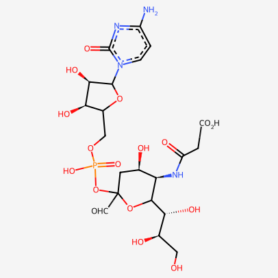 Nc1ccn(C2OC(COP(=O)(O)OC3(C=O)C[C@@H](O)[C@@H](NC(=O)CC(=O)O)C([C@H](O)[C@H](O)CO)O3)[C@@H](O)[C@H]2O)c(=O)n1